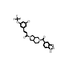 O=C(C=Cc1cc(Cl)cc(OC(F)(F)F)c1)N1CC2CCN(C(=O)c3ccc4[nH]nnc4c3)CC2C1